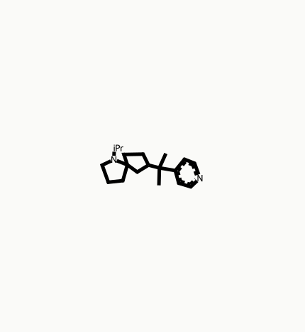 CC(C)N1CCCC12CCC(C(C)(C)c1ccncc1)C2